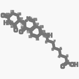 O=C(O)CCCCCCNc1ccc2c(=O)n(C3CCC(=O)NC3=O)ncc2c1